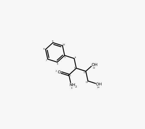 NC(=O)C(Cc1ccccc1)C(O)CO